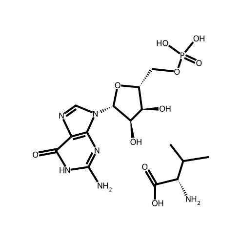 CC(C)[C@H](N)C(=O)O.Nc1nc2c(ncn2[C@@H]2O[C@H](COP(=O)(O)O)[C@@H](O)[C@H]2O)c(=O)[nH]1